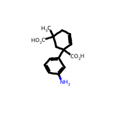 CC1(C(=O)O)CC=CC(C(=O)O)(c2cccc(N)c2)C1